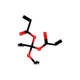 C=CC(=O)OC(CCCC)(OCCC)OC(=O)C=C